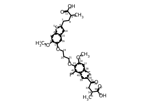 COc1cc2sc(CCC(C)C(=O)O)cc2cc1OCCCOc1c(OC)cc2sc(C(=O)CC(C)C(=O)O)cc2c1F